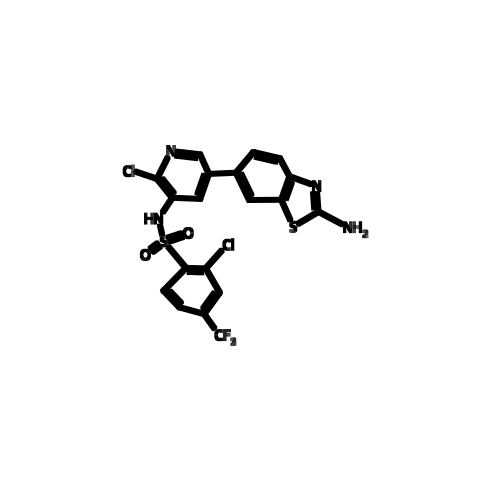 Nc1nc2ccc(-c3cnc(Cl)c(NS(=O)(=O)c4ccc(C(F)(F)F)cc4Cl)c3)cc2s1